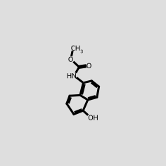 COC(=O)Nc1cccc2c(O)cccc12